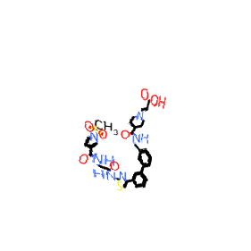 CS(=O)(=O)n1ccc(C(=O)NCC(=O)Nc2nc(-c3cccc(-c4cccc(CNC(=O)C5CCN(CCC(=O)O)CC5)c4)c3)cs2)c1